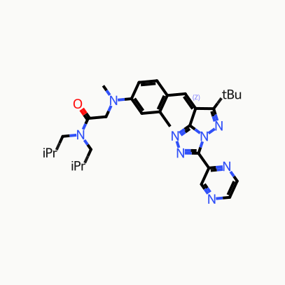 Cc1cc(N(C)CC(=O)N(CC(C)C)CC(C)C)ccc1/C=c1/c(C(C)(C)C)nn2c(-c3cnccn3)nnc12